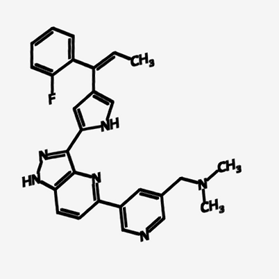 C/C=C(\c1c[nH]c(-c2n[nH]c3ccc(-c4cncc(CN(C)C)c4)nc23)c1)c1ccccc1F